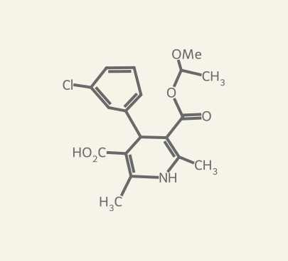 COC(C)OC(=O)C1=C(C)NC(C)=C(C(=O)O)C1c1cccc(Cl)c1